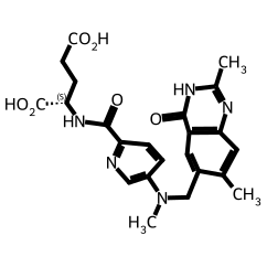 Cc1nc2cc(C)c(CN(C)c3ccc(C(=O)N[C@@H](CCC(=O)O)C(=O)O)nc3)cc2c(=O)[nH]1